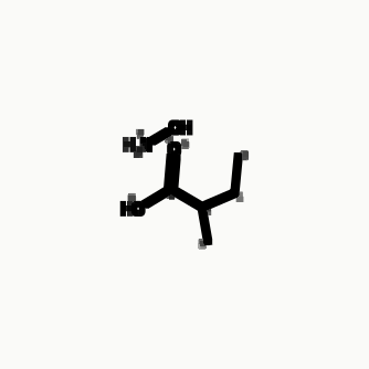 CCC(C)C(=O)O.NO